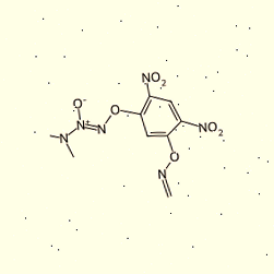 C=NOc1cc(O/N=[N+](\[O-])N(C)C)c([N+](=O)[O-])cc1[N+](=O)[O-]